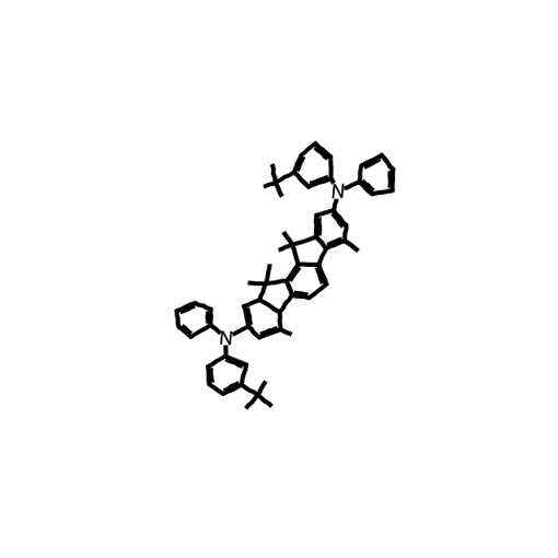 CC1=CC(N(c2ccccc2)c2cccc(C(C)(C)C)c2)=CC2C1c1ccc3c(c1C2(C)C)C(C)(C)c1cc(N(c2ccccc2)c2cccc(C(C)(C)C)c2)cc(C)c1-3